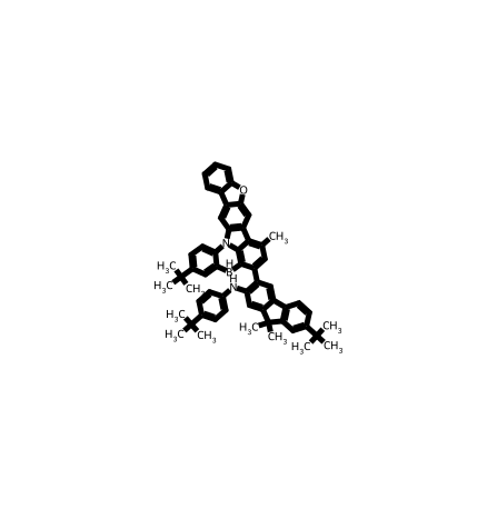 Cc1cc(-c2cc3c(cc2Nc2ccc(C(C)(C)C)cc2)C(C)(C)c2cc(C(C)(C)C)ccc2-3)c2c3c1c1cc4oc5ccccc5c4cc1n3-c1ccc(C(C)(C)C)cc1B2